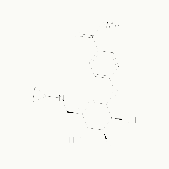 COC(=O)c1ccc(OC2O[C@H](CNC3CC3)[C@@H](O)[C@H](O)[C@@H]2O)cc1